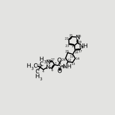 CC(C)(C)Cn1cc(S(=O)(=O)NC2CCC(c3c[nH]c4ncccc34)CC2)cn1